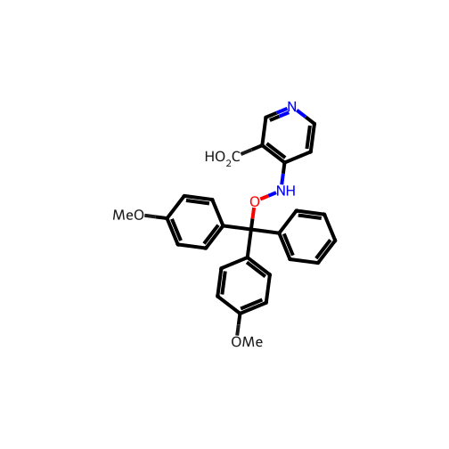 COc1ccc(C(ONc2ccncc2C(=O)O)(c2ccccc2)c2ccc(OC)cc2)cc1